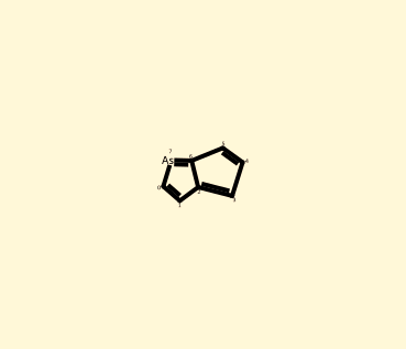 [C]1=CC2=CC=CC2=[As]1